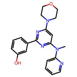 CN(c1ccccn1)c1cc(N2CCOCC2)nc(-c2cccc(O)c2)n1